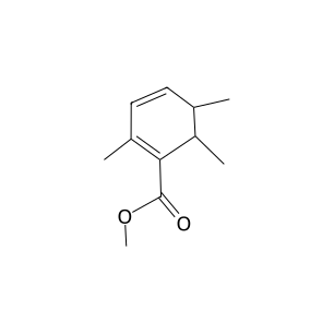 COC(=O)C1=C(C)C=CC(C)C1C